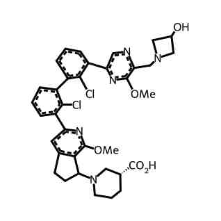 COc1nc(-c2cccc(-c3cccc(-c4cc5c(c(OC)n4)C(N4CCC[C@@H](C(=O)O)C4)CC5)c3Cl)c2Cl)cnc1CN1CC(O)C1